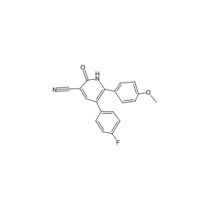 COc1ccc(-c2[nH]c(=O)c(C#N)cc2-c2ccc(F)cc2)cc1